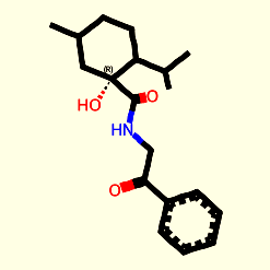 CC1CCC(C(C)C)[C@@](O)(C(=O)NCC(=O)c2ccccc2)C1